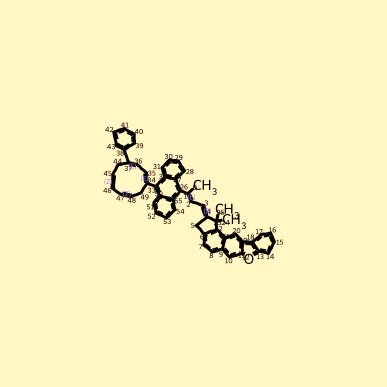 C/C(=C\C=C1/Cc2ccc3cc4oc5ccccc5c4cc3c2C1(C)C)c1c2ccccc2c(/C2=C/C=C(/c3ccccc3)C/C=C\C=C/C2)c2ccccc12